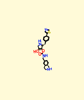 O=C(NCc1ccc2c(c1)CCNC2)O[C@@H]1[C@@H](O)CN[C@@H]1Cc1ccc(-c2cncs2)cc1